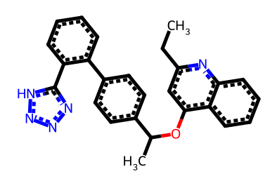 CCc1cc(OC(C)c2ccc(-c3ccccc3-c3nnn[nH]3)cc2)c2ccccc2n1